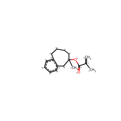 C=C(C)C(=O)OC1(C)CCCCc2ccccc2C1